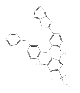 CC(C)(C)c1cc2c3c(c1)Nc1ccc(-c4nc5ccccc5s4)cc1B3c1cc(Oc3ccccn3)ccc1N2